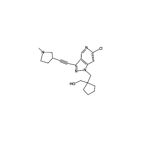 CN1CCC(C#Cc2nn(CC3(CO)CCCC3)c3cc(Cl)ncc23)C1